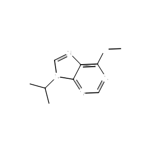 COc1ncnc2c1ncn2C(C)C